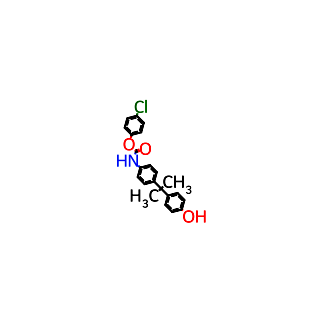 CC(C)(c1ccc(O)cc1)c1ccc(NC(=O)Oc2ccc(Cl)cc2)cc1